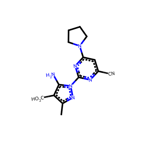 Cc1nn(-c2nc(C#N)cc(N3CCCC3)n2)c(N)c1C(=O)O